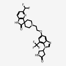 O=C1CC(n2cnc3cc(OCCN4CCC5(CC4)C(=O)Nc4ccc(C(F)F)nc45)cc(C(F)(F)F)c32)CN1